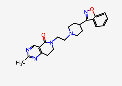 Cc1ncc2c(n1)CCN(CCN1CCC(c3noc4ccccc34)CC1)C2=O